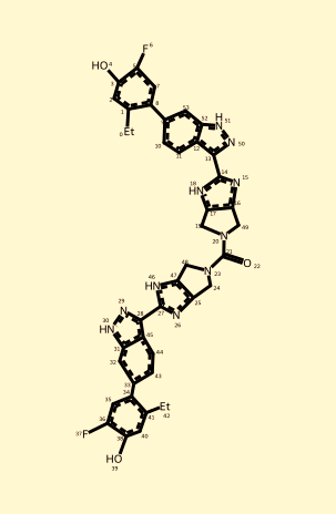 CCc1cc(O)c(F)cc1-c1ccc2c(-c3nc4c([nH]3)CN(C(=O)N3Cc5nc(-c6n[nH]c7cc(-c8cc(F)c(O)cc8CC)ccc67)[nH]c5C3)C4)n[nH]c2c1